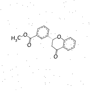 COC(=O)c1cccc([C@H]2CC(=O)c3ccccc3O2)c1